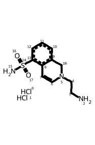 Cl.Cl.NCCN1C=Cc2c(cccc2S(N)(=O)=O)C1